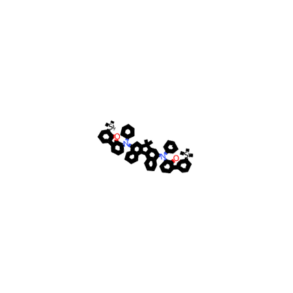 CC1(C)c2cc(N(c3ccccc3)c3cccc4c3oc3c([Si](C)(C)C)cccc34)c3ccccc3c2-c2c1cc(N(c1ccccc1)c1cccc3c1oc1c([Si](C)(C)C)cccc13)c1ccccc21